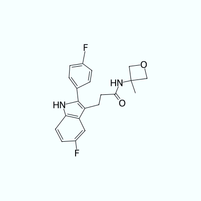 CC1(NC(=O)CCc2c(-c3ccc(F)cc3)[nH]c3ccc(F)cc23)COC1